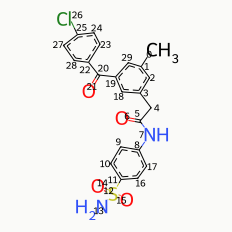 Cc1cc(CC(=O)Nc2ccc(S(N)(=O)=O)cc2)cc(C(=O)c2ccc(Cl)cc2)c1